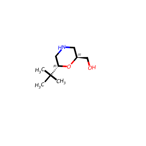 CC(C)(C)[C@@H]1CNC[C@@H](CO)O1